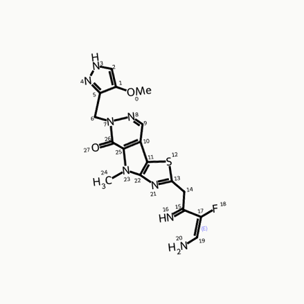 COc1c[nH]nc1Cn1ncc2c3sc(CC(=N)/C(F)=C\N)nc3n(C)c2c1=O